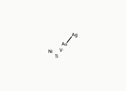 [Ag][Au].[Ni].[Ti].[V]